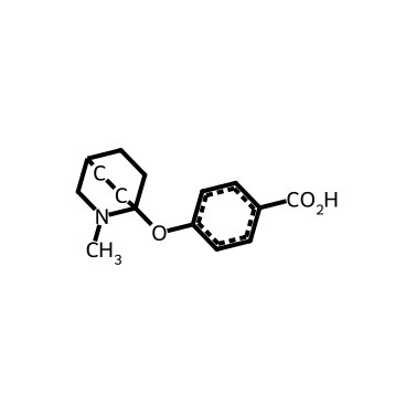 CN1CC2CCC1(Oc1ccc(C(=O)O)cc1)CC2